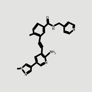 Cc1ccc(C(=O)NCc2ccncc2)cc1C#Cc1cc(-c2cnn(C)c2)cnc1N